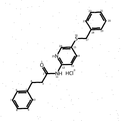 Cl.O=C(CCc1ccccc1)Nc1ccc(SCc2ccccc2)cn1